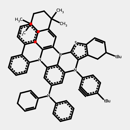 CC1(C)CCC(C)(C)C2CC3=C(C=C21)B1c2sc4c(c2N(c2c#cc(C(C)(C)C)cc2)c2cc(N(C5=CCCC=C5)c5ccccc5)cc(c21)N3c1ccccc1-c1ccccc1)CC(C(C)(C)C)C=C4